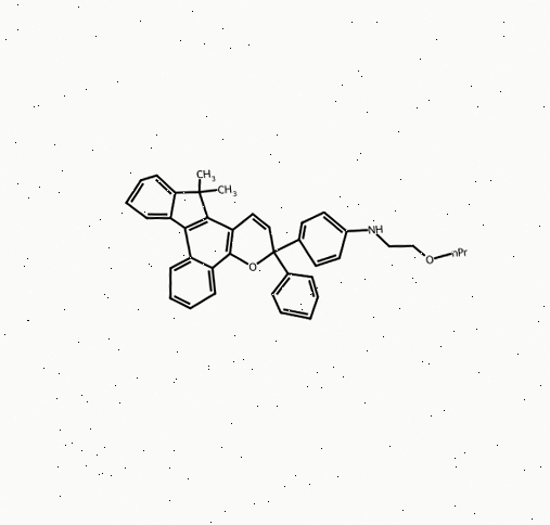 CCCOCCNc1ccc(C2(c3ccccc3)C=Cc3c4c(c5ccccc5c3O2)-c2ccccc2C4(C)C)cc1